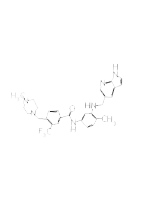 Cc1ccc(NC(=O)c2ccc(CN3CCN(C)CC3)c(C(F)(F)F)c2)cc1NCc1cnc2[nH]ccc2c1